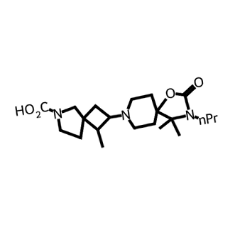 CCCN1C(=O)OC2(CCN(C3CC4(CCN(C(=O)O)C4)C3C)CC2)C1(C)C